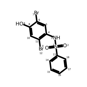 O=S(=O)(Nc1cc(Br)c(O)cc1Br)c1ccccc1